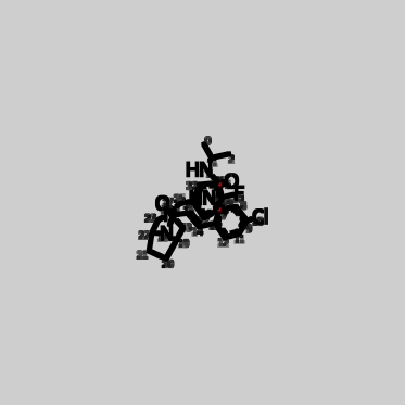 CC(C)NC(=O)Nc1cc(Cl)ccc1/C=C/C(=O)N1C2CCC1CN(Cc1ccc(F)cc1)C2